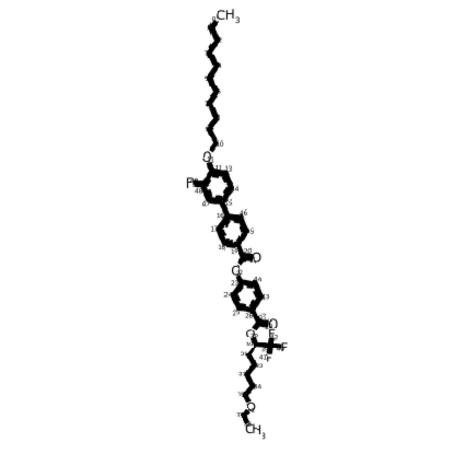 CCCCCCCCCCCOc1ccc(-c2ccc(C(=O)Oc3ccc(C(=O)O[C@H](CCCCCOCC)C(F)(F)F)cc3)cc2)cc1F